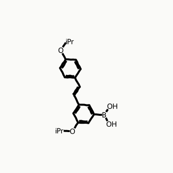 CC(C)Oc1ccc(/C=C/c2cc(OC(C)C)cc(B(O)O)c2)cc1